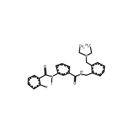 CCN(CC)Cc1ccccc1CNC(=O)c1cccc(N(I)C(=O)c2ccccc2F)c1